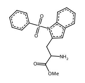 COC(=O)C(N)Cc1cc2ccccc2n1S(=O)(=O)c1ccccc1